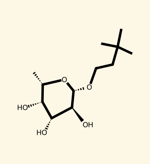 C[C@@H]1O[C@H](OCCC(C)(C)C)[C@@H](O)[C@H](O)[C@@H]1O